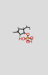 CCC1CC(C)CC1OP(=O)(O)O